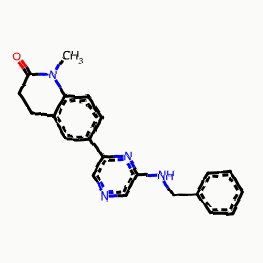 CN1C(=O)CCc2cc(-c3cncc(NCc4ccccc4)n3)ccc21